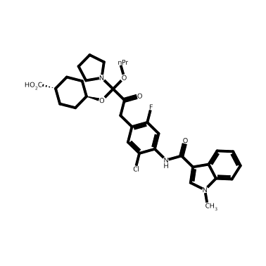 CCCOC(O[C@H]1CC[C@H](C(=O)O)CC1)(C(=O)Cc1cc(Cl)c(NC(=O)c2cn(C)c3ccccc23)cc1F)N1CCCC1